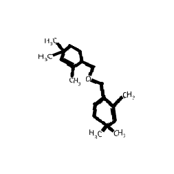 CC1=CC(C)(C)CCC1COCC1CCC(C)(C)C=C1C